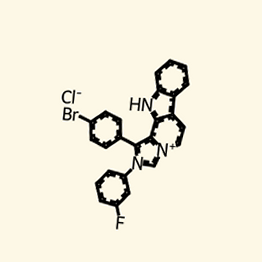 Fc1cccc(-n2c[n+]3ccc4c5ccccc5[nH]c4c3c2-c2ccc(Br)cc2)c1.[Cl-]